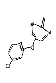 C=C1N=CC(Oc2cccc(Cl)c2)=CN1